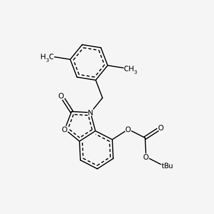 Cc1ccc(C)c(Cn2c(=O)oc3cccc(OC(=O)OC(C)(C)C)c32)c1